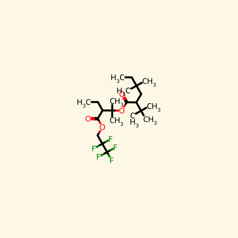 CCC(C(=O)OCC(F)(F)C(F)(F)F)C(C)(C)OC(=O)C(CC(C)(C)CC)C(C)(C)C